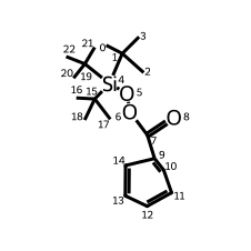 CC(C)(C)[Si](OOC(=O)c1ccccc1)(C(C)(C)C)C(C)(C)C